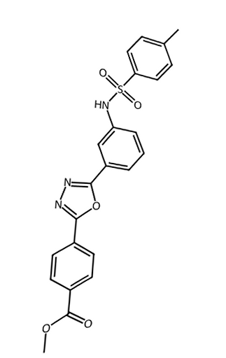 COC(=O)c1ccc(-c2nnc(-c3cccc(NS(=O)(=O)c4ccc(C)cc4)c3)o2)cc1